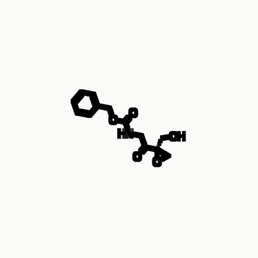 O=C(NCC(=O)[C@@]1(CO)CO1)OCc1ccccc1